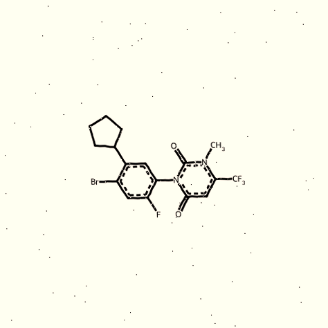 Cn1c(C(F)(F)F)cc(=O)n(-c2cc(C3CCCC3)c(Br)cc2F)c1=O